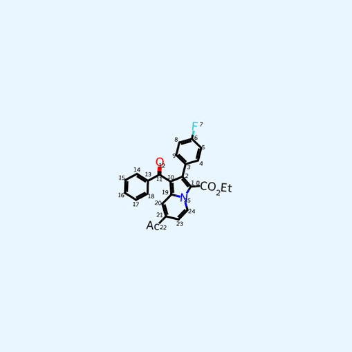 CCOC(=O)c1c(-c2ccc(F)cc2)c(C(=O)c2ccccc2)c2cc(C(C)=O)ccn12